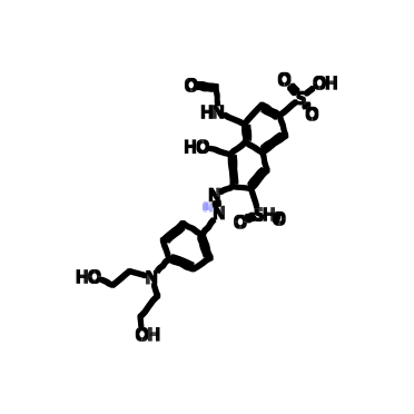 O=CNc1cc(S(=O)(=O)O)cc2cc([SH](=O)=O)c(/N=N/c3ccc(N(CCO)CCO)cc3)c(O)c12